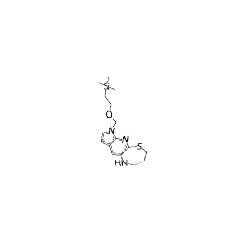 C[Si](C)(C)CCOCn1ccc2cc3c(nc21)SCCCN3